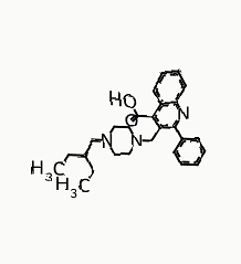 CCC(CC)CN1CCN(Cc2c(-c3ccccc3)nc3ccccc3c2C(=O)O)CC1